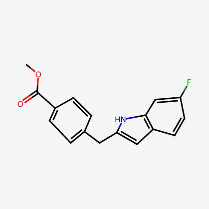 COC(=O)c1ccc(Cc2cc3ccc(F)cc3[nH]2)cc1